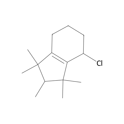 CC1C(C)(C)C2=C(C(Cl)CCC2)C1(C)C